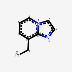 CC(C)Cc1cccn2ccnc12